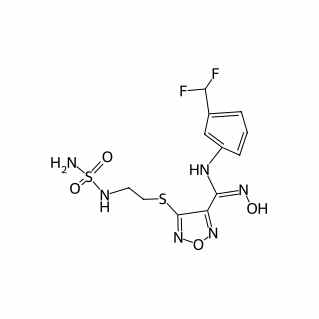 NS(=O)(=O)NCCSc1nonc1/C(=N\O)Nc1cccc(C(F)F)c1